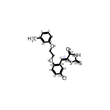 Cc1cccc(OCCOc2ccc(Cl)cc2/C=C2\SC(=S)NC2=O)c1